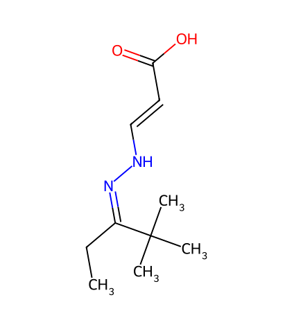 CCC(=NN/C=C/C(=O)O)C(C)(C)C